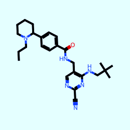 CCCN1CCCCC1c1ccc(C(=O)NCc2cnc(C#N)nc2NCC(C)(C)C)cc1